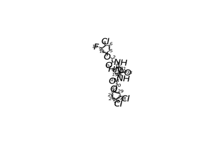 O=C(COc1ccc(Cl)c(F)c1)NC12CCC(NC(=O)COc3ccc(Cl)c(Cl)c3)(CC1)C(=O)N2